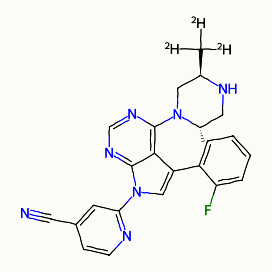 [2H]C([2H])([2H])[C@@H]1CN(c2ncnc3c2c(-c2ccccc2F)cn3-c2cc(C#N)ccn2)[C@@H](C)CN1